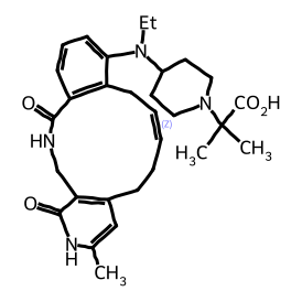 CCN(c1cccc2c1C/C=C\CCc1cc(C)[nH]c(=O)c1CNC2=O)C1CCN(C(C)(C)C(=O)O)CC1